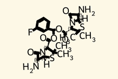 CC1(C)S[C@@H]2[C@H](N)C(=O)N2[C@H]1C(=O)OC(OC(=O)[C@@H]1N2C(=O)[C@@H](N)[C@H]2SC1(C)C)c1cccc(F)c1